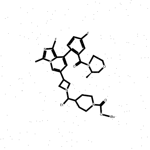 CCC(C1CCN(C(=O)OC(C)(C)C)CC1)N1CC(c2cc(-c3ccc(F)cc3C(=O)N3CCOC[C@H]3C)c3c(F)nc(C)n3c2)C1